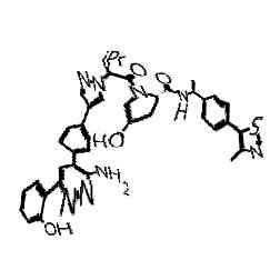 Cc1ncsc1-c1ccc(C(C)NC(=O)[C@@H]2C[C@@H](O)CN2C(=O)C(C(C)C)n2cc(-c3ccc(-c4cc(-c5ccccc5O)nnc4N)cc3)cn2)cc1